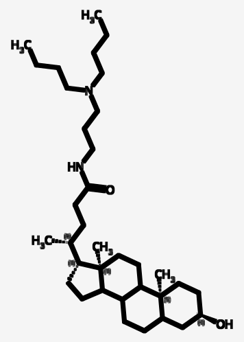 CCCCN(CCCC)CCCNC(=O)CC[C@@H](C)[C@H]1CCC2C3CCC4C[C@H](O)CC[C@]4(C)C3CC[C@@]21C